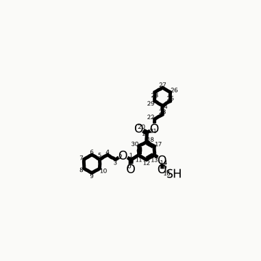 O=C(OCCC1CCCCC1)c1cc(OOS)cc(C(=O)OCCC2CCCCC2)c1